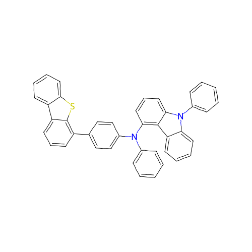 c1ccc(N(c2ccc(-c3cccc4c3sc3ccccc34)cc2)c2cccc3c2c2ccccc2n3-c2ccccc2)cc1